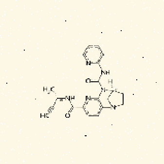 C#C[C@H](C)NC(=O)c1ccc2c(n1)N(C(=O)Nc1ccccn1)[C@H]1CCN2C1